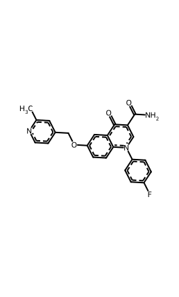 Cc1cc(COc2ccc3c(c2)c(=O)c(C(N)=O)cn3-c2ccc(F)cc2)ccn1